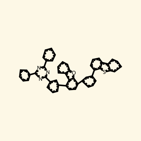 c1ccc(-c2nc(-c3ccccc3)nc(-c3cccc(-c4ccc(-c5cccc(-c6cccc7c6sc6ccccc67)c5)c5oc6ccccc6c45)c3)n2)cc1